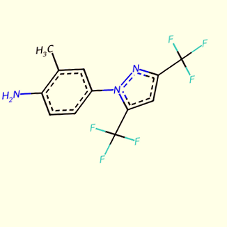 Cc1cc(-n2nc(C(F)(F)F)cc2C(F)(F)F)ccc1N